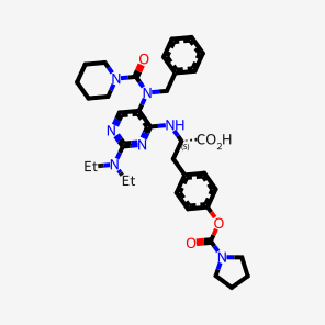 CCN(CC)c1ncc(N(Cc2ccccc2)C(=O)N2CCCCC2)c(N[C@@H](Cc2ccc(OC(=O)N3CCCC3)cc2)C(=O)O)n1